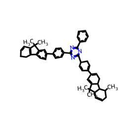 CC1CC=CC2C1C1CC=C(C3=CCC(c4nc(-c5ccccc5)nc(-c5ccc(-c6ccc7c(c6)C(C)(C)C6=C7CCC=C6)cc5)n4)C=C3)C=C1C2(C)C